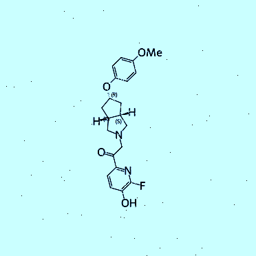 COc1ccc(O[C@@H]2C[C@@H]3CN(CC(=O)c4ccc(O)c(F)n4)C[C@@H]3C2)cc1